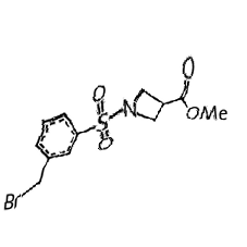 COC(=O)C1CN(S(=O)(=O)c2cccc(CBr)c2)C1